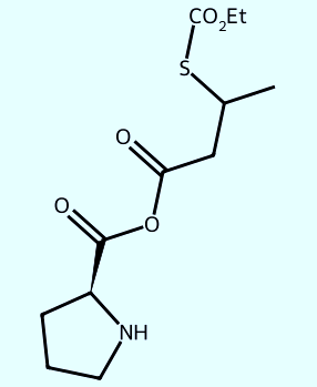 CCOC(=O)SC(C)CC(=O)OC(=O)[C@@H]1CCCN1